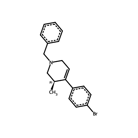 C[C@H]1CN(Cc2ccccc2)CC=C1c1ccc(Br)cc1